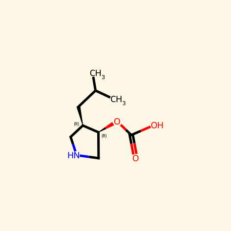 CC(C)C[C@@H]1CNC[C@@H]1OC(=O)O